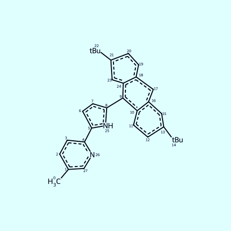 Cc1ccc(-c2ccc(-c3c4ccc(C(C)(C)C)cc4cc4ccc(C(C)(C)C)cc34)[nH]2)nc1